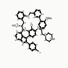 COc1ccccc1-c1nccc(COc2ccccc2C[C@@H](Cc2ncnc3sc(-c4ccc(F)cc4)c(-c4ccc(OCCN5CCNCC5)c(Cl)c4C)c23)C(=O)O)n1